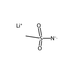 CS([N-])(=O)=O.[Li+]